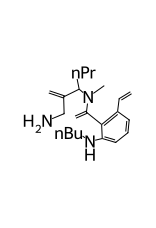 C=Cc1cccc(NCCCC)c1C(=C)N(C)C(CCC)C(=C)CN